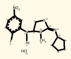 CC(=O)N(c1cc([N+](=O)[O-])ccc1F)C1CSC(=NC2CCCC2)N1C.Cl